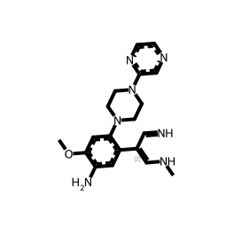 CN/C=C(\C=N)c1cc(N)c(OC)cc1N1CCN(c2cnccn2)CC1